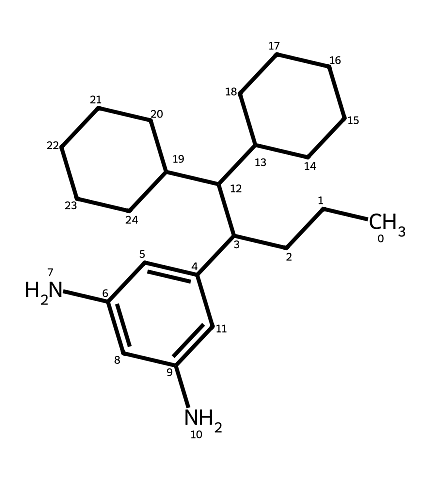 CCCC(c1cc(N)cc(N)c1)C(C1CCCCC1)C1CCCCC1